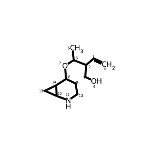 C=CC(CO)C(C)OC1CCNC2CC21